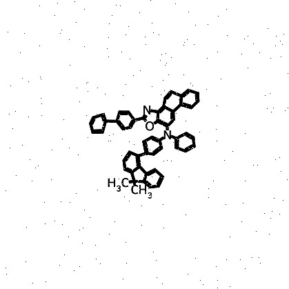 CC1(C)c2ccccc2-c2c(-c3ccc(N(c4ccccc4)c4cc5c6ccccc6ccc5c5nc(-c6ccc(-c7ccccc7)cc6)oc45)cc3)cccc21